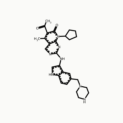 CC(=O)c1c(C)c2cnc(Nc3c[nH]c4ccc(CN5CCNCC5)cc34)nc2n(C2CCCC2)c1=O